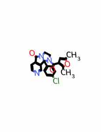 Cc1cc(C(=O)N2CCN3C(=O)c4ccncc4C32c2ccc(Cl)cc2)c(C)o1